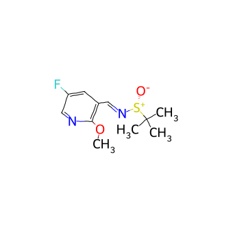 COc1ncc(F)cc1/C=N/[S@+]([O-])C(C)(C)C